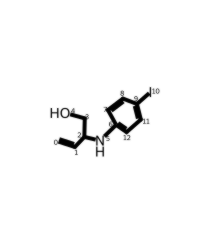 C=CC(CO)Nc1ccc(I)cc1